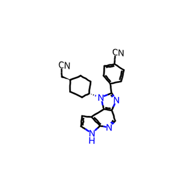 N#CC[C@H]1CC[C@H](n2c(-c3ccc(C#N)cc3)nc3cnc4[nH]ccc4c32)CC1